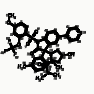 COc1ccc(S(=O)(=O)N2C(=O)C(c3cc(C)ccc3OC)(N3C[C@H](O)C[C@H]3C(=O)N(C)C)c3cc(-c4ccncc4)ccc32)c(OC(F)(F)F)c1